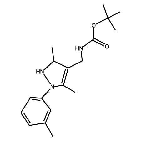 CC1=C(CNC(=O)OC(C)(C)C)C(C)NN1c1cccc(C)c1